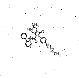 CC1Cn2c(c(C(=O)NCc3ccccc3-c3ccncn3)n(-c3ccc(N4CC5(CN(C)C5)C4)cc3)c2=O)CN1